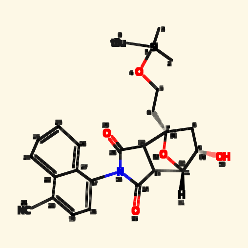 CC(C)(C)[Si](C)(C)OCC[C@]12C[C@H](O)[C@@H](O1)C1C(=O)N(c3ccc(C#N)c4ccccc34)C(=O)C12